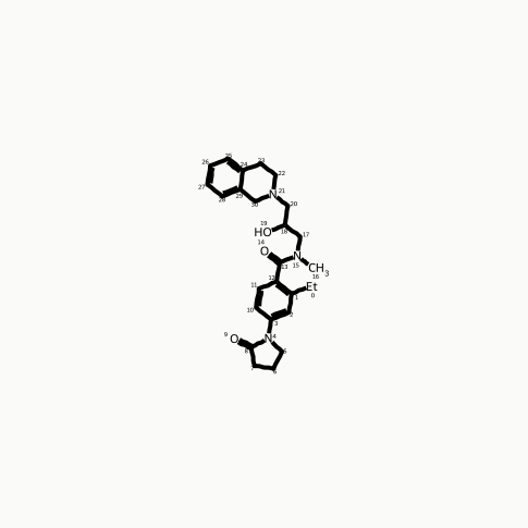 CCc1cc(N2CCCC2=O)ccc1C(=O)N(C)CC(O)CN1CCc2ccccc2C1